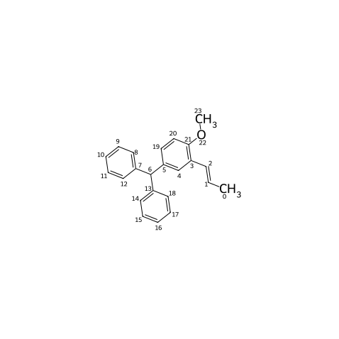 CC=Cc1cc(C(c2ccccc2)c2ccccc2)ccc1OC